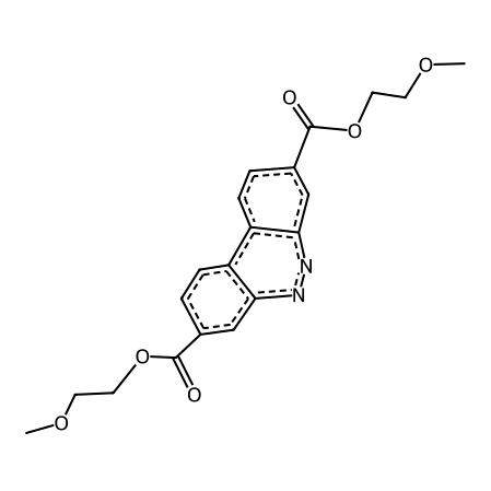 COCCOC(=O)c1ccc2c(c1)nnc1cc(C(=O)OCCOC)ccc12